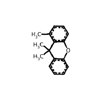 Cc1cccc2c1C(C)(C)c1ccccc1O2